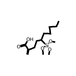 C=C(CCC(CCCCC)[Si](OC)(OC)OC)C(=O)O